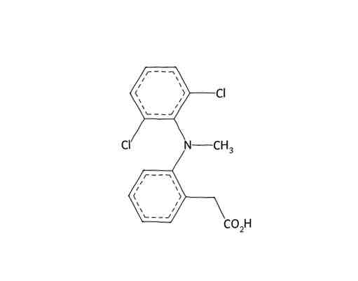 CN(c1ccccc1CC(=O)O)c1c(Cl)cccc1Cl